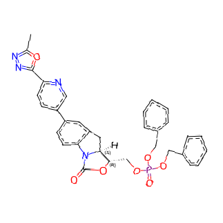 Cc1nnc(-c2ccc(-c3ccc4c(c3)C[C@H]3[C@H](COP(=O)(OCc5ccccc5)OCc5ccccc5)OC(=O)N43)cn2)o1